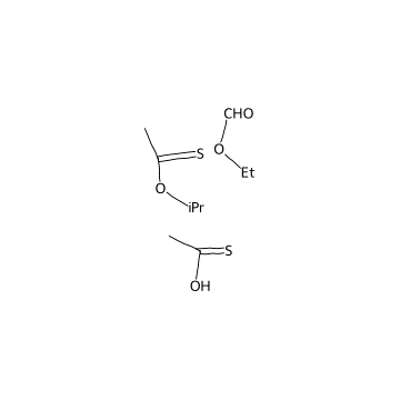 CC(=S)OC(C)C.CC(O)=S.CCOC=O